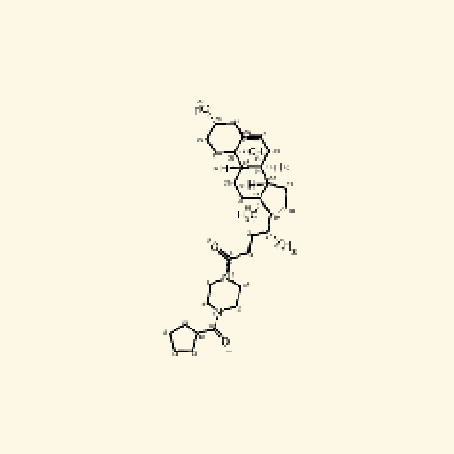 C[C@H](CCC(=O)N1CCN(C(=O)C2CCCC2)CC1)[C@H]1CC[C@H]2[C@@H]3CC=C4C[C@@H](O)CC[C@]4(C)[C@H]3CC[C@]12C